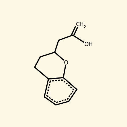 C=C(O)CC1CCc2ccccc2O1